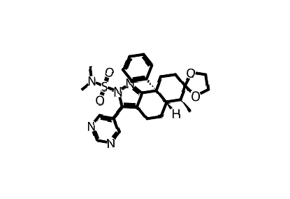 C[C@H]1[C@@H]2CCc3c(nn(S(=O)(=O)N(C)C)c3-c3cncnc3)[C@@]2(c2ccccc2)CCC12OCCO2